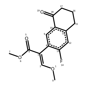 CO/C=C(/C(=O)OC)c1cc2c(cc1F)CCCC2=O